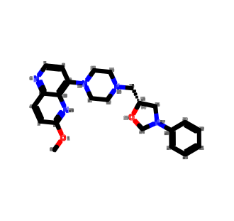 COc1ccc2nccc(N3CCN(C[C@@H]4CN(c5ccccc5)CO4)CC3)c2n1